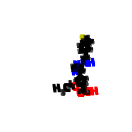 CCOc1cc(-c2cc(NCCc3ccc4sccc4c3)ncn2)ccc1C(=O)O